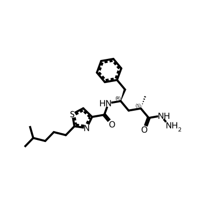 CC(C)CCCc1nc(C(=O)N[C@@H](Cc2ccccc2)C[C@H](C)C(=O)NN)cs1